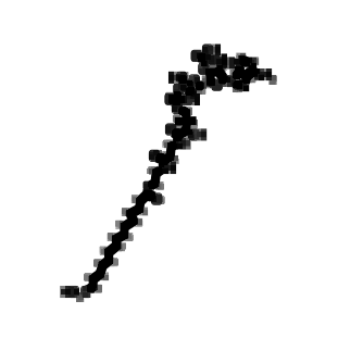 CC(C)(COP(=O)(O)OP(=O)(O)OC[C@H]1O[C@@H](n2cnc3c(N)ncnc32)[C@H](O)[C@@H]1OP(=O)(O)O)[C@@H](O)C(=O)NCCC(=O)NCCSC(=O)CCCCCCCCCCCCCCC(=O)O